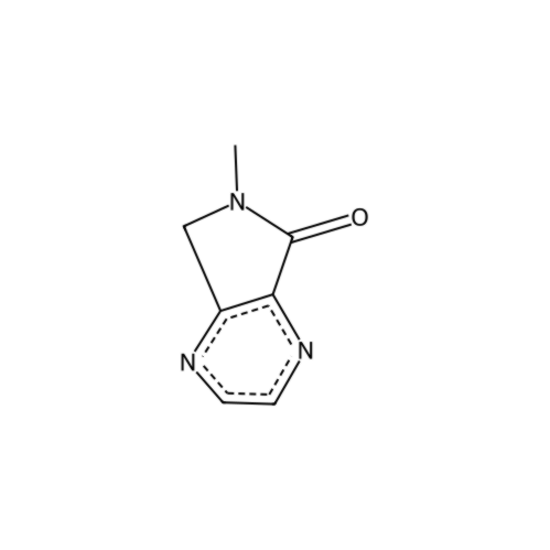 CN1Cc2nccnc2C1=O